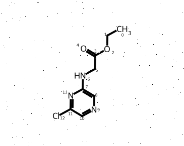 CCOC(=O)CNc1cncc(Cl)n1